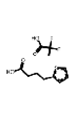 O=C(O)C(F)(F)F.O=C(O)CCCc1cccs1